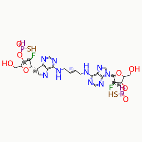 O=[PH](S)O[C@@H]1C(CO)O[C@@H](n2cnc3c(NC/C=C/CNc4ncnc5c4N=C[C@@H]5C4OC(CO)[C@@H](O[PH](=O)S)[C@H]4F)ncnc32)[C@@H]1F